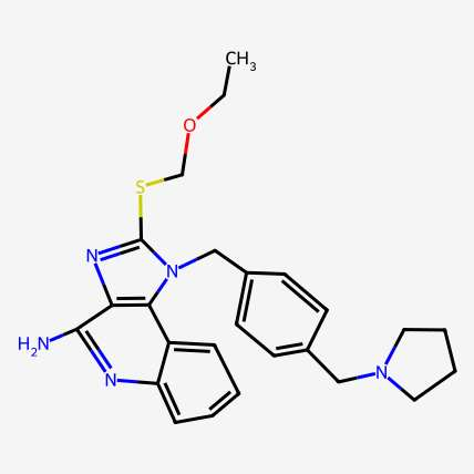 CCOCSc1nc2c(N)nc3ccccc3c2n1Cc1ccc(CN2CCCC2)cc1